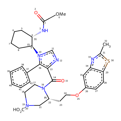 COC(=O)N[C@H]1CCCC[C@@H]1n1cnc(C(=O)N2CCN(C(=O)O)C[C@H]2CCOc2ccc3sc(C)nc3c2)c1-c1ccccc1